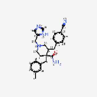 Cc1cccc(CC2(C(N)=O)CCN(Cc3cnc[nH]3)CC2Cc2ccc(C#N)cc2)c1